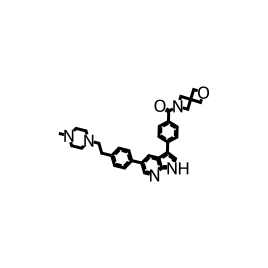 CN1CCN(CCc2ccc(-c3cnc4[nH]cc(-c5ccc(C(=O)N6CC7(COC7)C6)cc5)c4c3)cc2)CC1